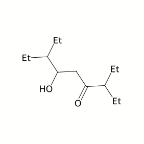 CCC(CC)C(=O)CC(O)C(CC)CC